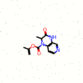 C=C(C)OC(=O)N1c2ccncc2NC(=O)C1C